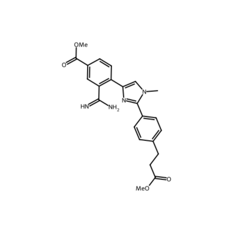 COC(=O)CCc1ccc(-c2nc(-c3ccc(C(=O)OC)cc3C(=N)N)cn2C)cc1